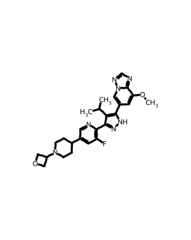 COc1cc(-c2[nH]nc(-c3ncc(C4CCN(C5COC5)CC4)cc3F)c2C(C)C)cn2ncnc12